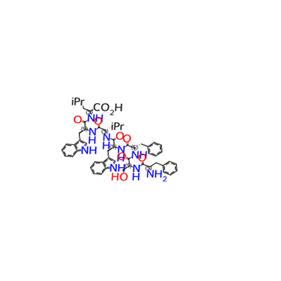 CC(C)C[C@H](NC(=O)[C@H](Cc1c[nH]c2ccccc12)NC(=O)[C@@H](NC(=O)[C@H](Cc1c[nH]c2ccccc12)NC(=O)[C@H](Cc1ccccc1)NC(=O)[C@H](CO)NC(=O)[C@@H](N)Cc1ccccc1)C(C)C)C(=O)O